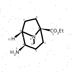 CCOC(=O)[C@]12CC[C@@H](N)[C@H](CC1)N2C